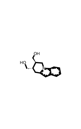 OC[C@H]1Cc2cc3ccccc3n2C[C@@H]1CO